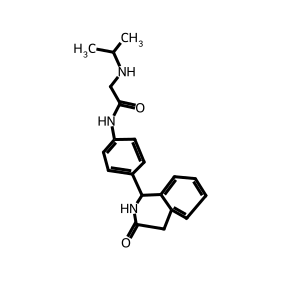 CC(C)NCC(=O)Nc1ccc(C2NC(=O)Cc3ccccc32)cc1